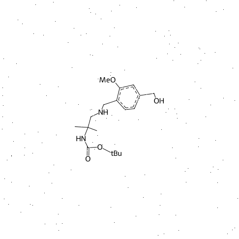 COc1cc(CO)ccc1CNCC(C)(C)NC(=O)OC(C)(C)C